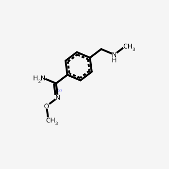 CNCc1ccc(/C(N)=N/OC)cc1